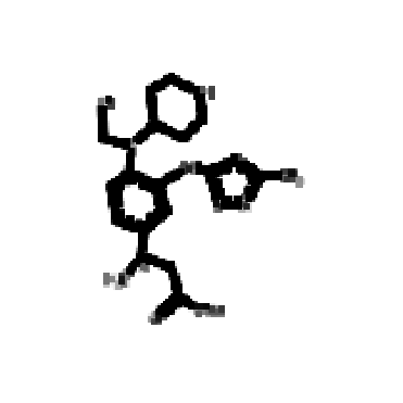 COC(=O)C[C@@H](C)c1ccc(N(CC(C)C)C2CCNCC2)c(Nc2nc(C(F)(F)F)ns2)c1